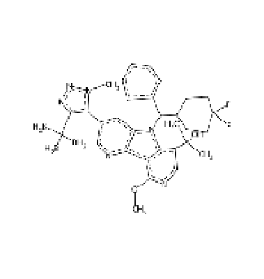 BC(B)(B)c1nnn(C)c1-c1cnc2c3c(OC)ncc(C(C)(C)O)c3n(C(c3ccccc3)C3CCC(F)(F)CC3)c2c1